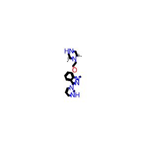 C[C@@H]1CNC[C@H](C)N1CCOc1cccc2c(N3C=CCNC3)nn(C)c12